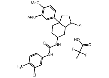 COc1ccc(C23CCC(NC(=O)Nc4ccc(C(F)(F)F)c(Cl)c4)CC2N(C(C)C)CC3)cc1OC.O=C(O)C(F)(F)F